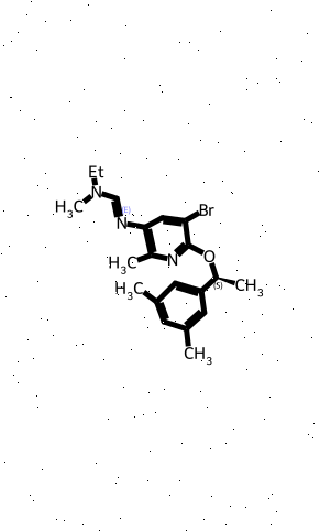 CCN(C)/C=N/c1cc(Br)c(O[C@@H](C)c2cc(C)cc(C)c2)nc1C